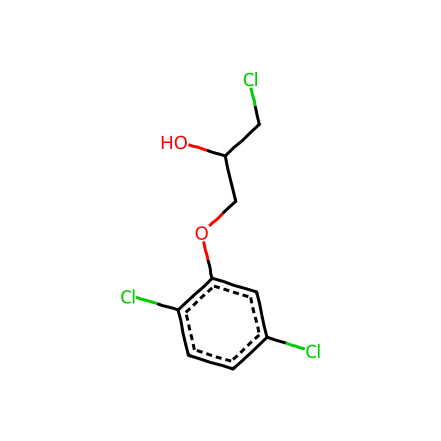 OC(CCl)COc1cc(Cl)ccc1Cl